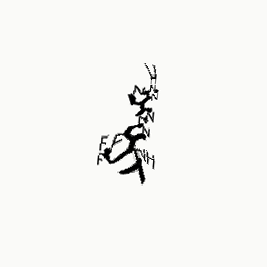 CC(C)NC(CC(F)(F)F)c1ccc(-n2cc(-c3ccnc4[nH]cnc34)cn2)nc1